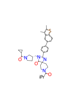 Cc1sc2ccc(-c3ccc(C4=NC5(CCN(C(=O)C(C)C)CC5)C(=O)N4C[C@@H]4CCN(C(=O)C5CC5)C4)cc3)cc2c1C